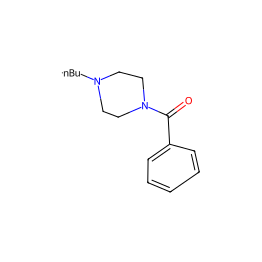 CCC[CH]N1CCN(C(=O)c2ccccc2)CC1